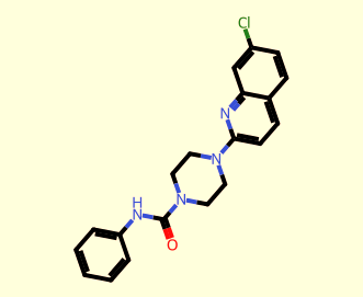 O=C(Nc1ccccc1)N1CCN(c2ccc3ccc(Cl)cc3n2)CC1